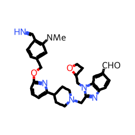 CNc1cc(COc2cccc(C3CCN(Cc4nc5ccc(C=O)cc5n4CC4CCO4)CC3)n2)ccc1C=N